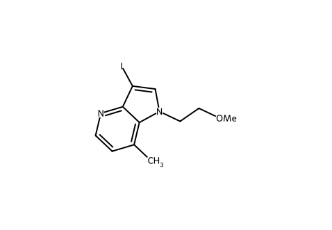 COCCn1cc(I)c2nccc(C)c21